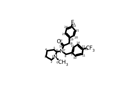 CN1CCCCC1N(Cc1ccc(C(F)(F)F)cc1)C(=O)Cc1ccc(F)cc1